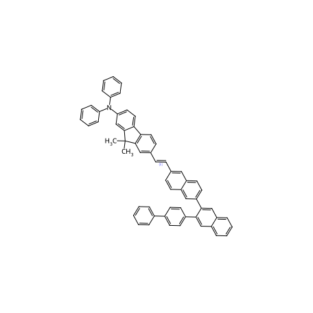 CC1(C)c2cc(/C=C/c3ccc4cc(-c5cc6ccccc6cc5-c5ccc(-c6ccccc6)cc5)ccc4c3)ccc2-c2ccc(N(c3ccccc3)c3ccccc3)cc21